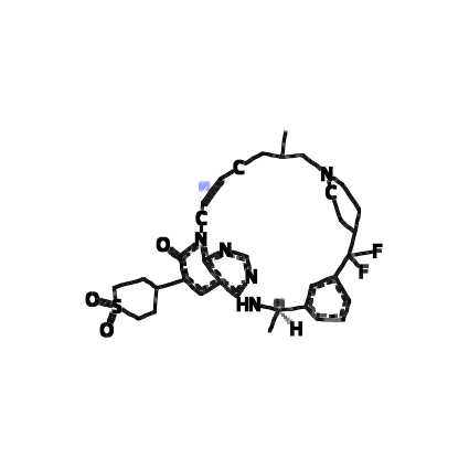 CC1CC/C=C\Cn2c(=O)c(C3CCS(=O)(=O)CC3)cc3c(ncnc32)N[C@H](C)c2cccc(c2)C(F)(F)C2CCN(CC2)C1